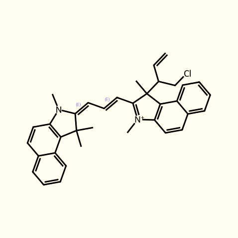 C=CC(CCl)C1(C)C(/C=C/C=C2/N(C)c3ccc4ccccc4c3C2(C)C)=[N+](C)c2ccc3ccccc3c21